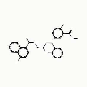 COC(=O)c1cc([C@@H]2C[C@H](CNC(C)c3ccc(F)c4ccccc34)Oc3ccccc32)ccc1C